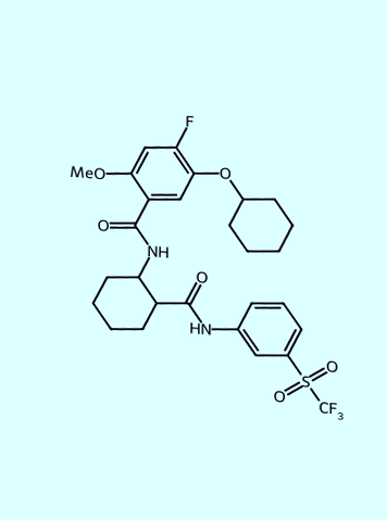 COc1cc(F)c(OC2CCCCC2)cc1C(=O)NC1CCCCC1C(=O)Nc1cccc(S(=O)(=O)C(F)(F)F)c1